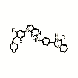 O=C1NC(c2ccc(Nc3ncc4ccn(-c5cc(F)c(CN6CCOCC6)c(F)c5)c4n3)cc2)CN2CCCC=C12